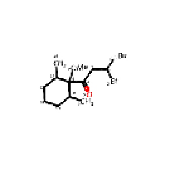 CCCCC(CC)CC(=O)C1(OC)C(C)CCCC1C